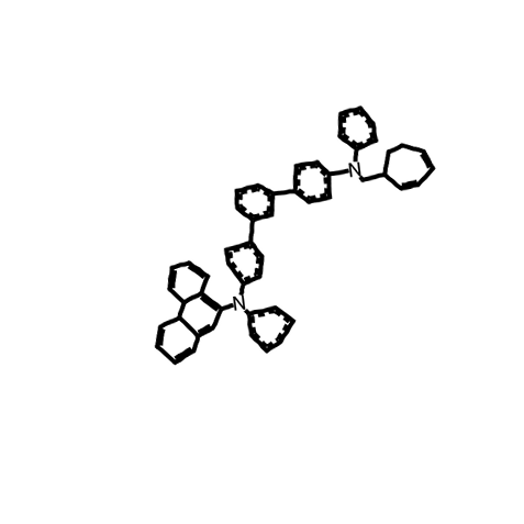 C1=CCCC(CN(c2ccccc2)c2ccc(-c3cccc(-c4ccc(N(C5=C6C=CC=CC6C6C=CC=CC6=C5)c5ccccc5)cc4)c3)cc2)C=C1